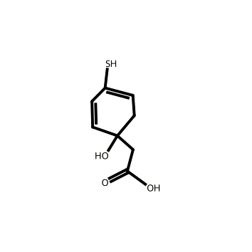 O=C(O)CC1(O)C=CC(S)=CC1